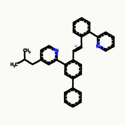 CC(C)Cc1ccnc(-c2cc(-c3ccccc3)ccc2/C=C/c2ccccc2-c2ccccn2)c1